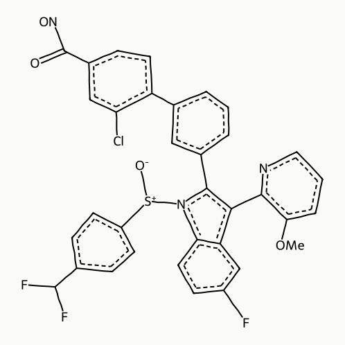 COc1cccnc1-c1c(-c2cccc(-c3ccc(C(=O)N=O)cc3Cl)c2)n([S+]([O-])c2ccc(C(F)F)cc2)c2ccc(F)cc12